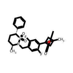 C[C@H]1CC[C@H](c2ccccc2)S(=O)(=O)N1Cc1cc(F)c(C23CC(C)(C2)OC3=O)cc1F